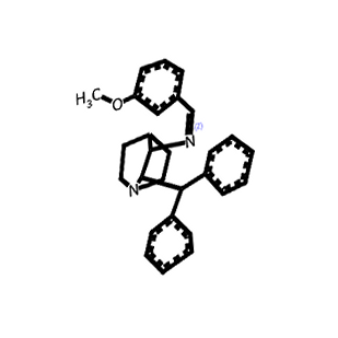 COc1cccc(/C=N\C2C3CCN(CC3)C2C(c2ccccc2)c2ccccc2)c1